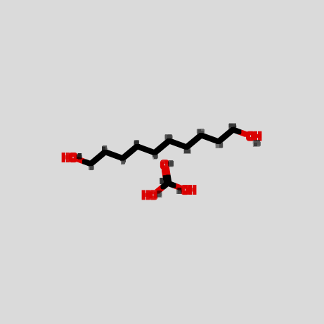 O=C(O)O.OCCCCCCCCCCO